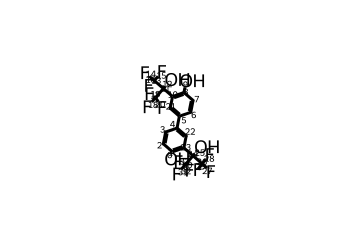 Oc1ccc(-c2ccc(O)c(C(O)(C(F)(F)F)C(F)(F)F)c2)cc1C(O)(C(F)(F)F)C(F)(F)F